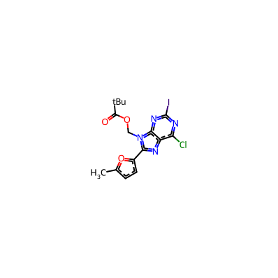 Cc1ccc(-c2nc3c(Cl)nc(I)nc3n2COC(=O)C(C)(C)C)o1